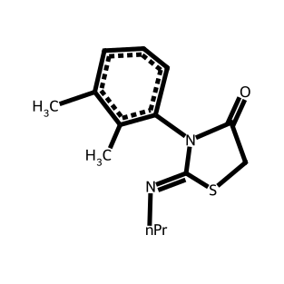 CCCN=C1SCC(=O)N1c1cccc(C)c1C